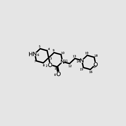 O=C1OC2(CCNCC2)CCN1CCN1CCOCC1